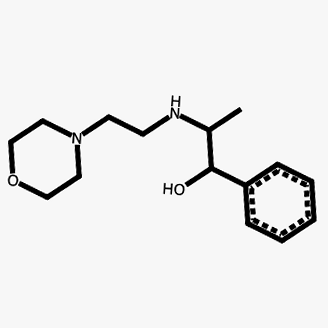 CC(NCCN1CCOCC1)C(O)c1ccccc1